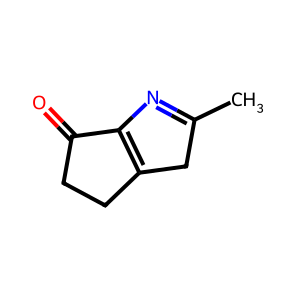 CC1=NC2=C(CCC2=O)C1